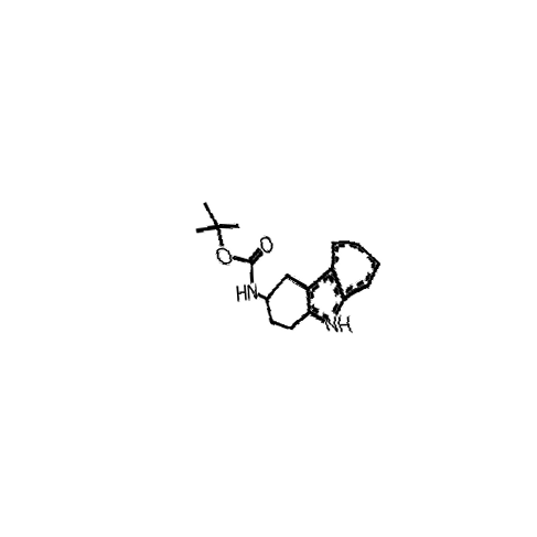 CC(C)(C)OC(=O)NC1CCc2[nH]c3ccccc3c2C1